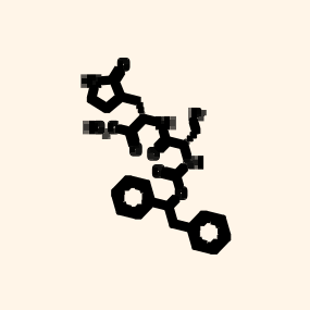 CC(C)C[C@H](NC(=O)OC(Cc1ccccc1)c1ccccc1)C(=O)N[C@@H](CC1CCNC1=O)C(=O)C(=O)O